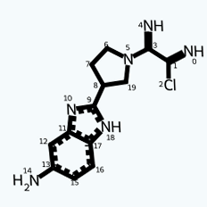 N=C(Cl)C(=N)N1CCC(c2nc3cc(N)ccc3[nH]2)C1